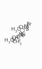 CC1(C)C=C(c2nc(Br)cs2)C=c2nnn(COCC[Si](C)(C)C)c2=C1